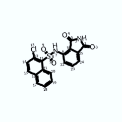 O=C1NC(=O)c2c(NS(=O)(=O)c3c(Cl)ccc4ccccc34)cccc21